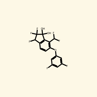 OC1(O)c2c(ccc(Oc3cc(F)cc(F)c3)c2C(F)F)C(F)C1(F)F